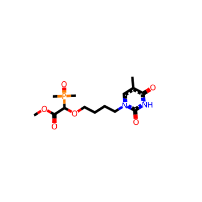 COC(=O)C(OCCCCn1cc(C)c(=O)[nH]c1=O)P(C)(C)=O